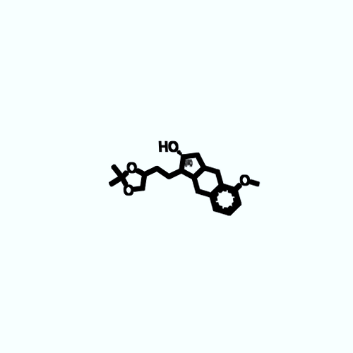 COc1cccc2c1CC1C[C@@H](O)C(CCC3COC(C)(C)O3)C1C2